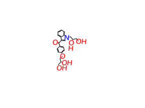 O=C(c1ccc(OCC(O)CO)cc1)c1cn(CC(O)CO)c2ccccc12